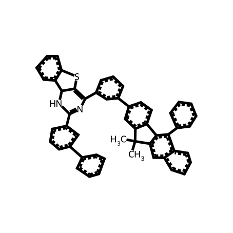 CC1(C)c2cc(-c3cccc(C4=C5Sc6ccccc6C5NC(c5cccc(-c6ccccc6)c5)=N4)c3)ccc2-c2c1cc1ccccc1c2-c1ccccc1